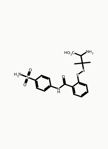 CC(C)(SSc1ccccc1C(=O)Nc1ccc(S(N)(=O)=O)cc1)C(N)C(=O)O